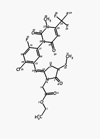 CCOC(=O)CN1C(=O)C(SC)S/C1=N\c1cc(-n2c(=O)cc(C(F)(F)F)n(C)c2=O)c(F)cc1Cl